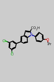 CC(C)Oc1ccc(-n2c(C(=O)O)cc3cc(-c4cc(Cl)cc(Cl)c4)ccc32)cc1